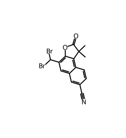 CC1(C)C(=O)Oc2c(C(Br)Br)cc3cc(C#N)ccc3c21